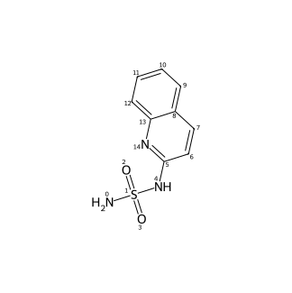 NS(=O)(=O)Nc1ccc2ccccc2n1